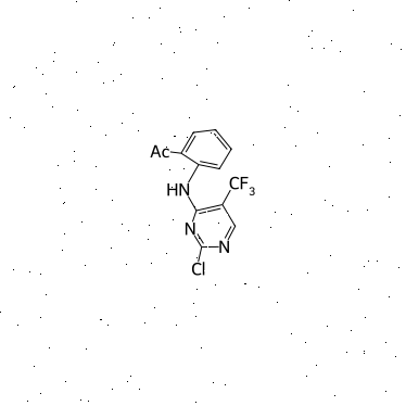 CC(=O)c1ccccc1Nc1nc(Cl)ncc1C(F)(F)F